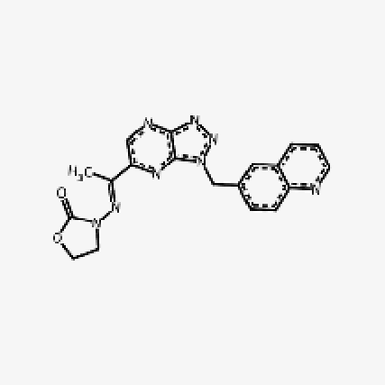 CC(=NN1CCOC1=O)c1cnc2nnn(Cc3ccc4ncccc4c3)c2n1